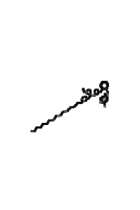 CCCCCCCCCCCCCCCCOCC(COCc1ccccc1CN1C=C(C)SC1)OCC